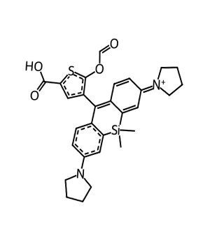 C[Si]1(C)C2=CC(=[N+]3CCCC3)C=CC2=C(c2cc(C(=O)O)sc2OC=O)c2ccc(N3CCCC3)cc21